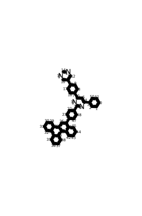 c1ccc(-c2cc(-c3ccc(-c4cncnc4)cc3)nc(-c3ccc(-c4cc5c6ccccc6c6ccccc6c5c5ccccc45)cc3)n2)cc1